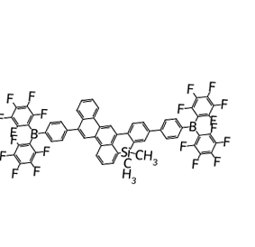 C[Si]1(C)c2cc(-c3ccc(B(c4c(F)c(F)c(F)c(F)c4F)c4c(F)c(F)c(F)c(F)c4F)cc3)ccc2-c2cc3c4ccccc4c(-c4ccc(B(c5c(F)c(F)c(F)c(F)c5F)c5c(F)c(F)c(F)c(F)c5F)cc4)cc3c3cccc1c23